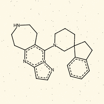 c1ccc2c(c1)CCC21CCCN(c2c3c(nc4ccnn24)CCNCC3)C1